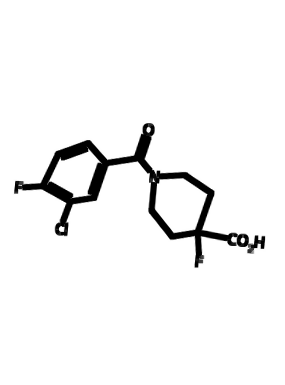 O=C(c1ccc(F)c(Cl)c1)N1CCC(F)(C(=O)O)CC1